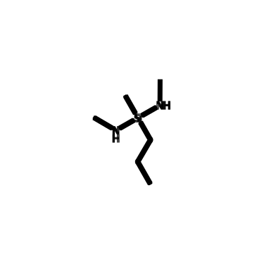 CCC[Si](C)(NC)NC